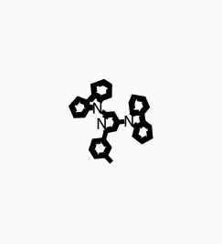 Cc1cccc(-c2cc(-n3c4ccccc4c4ccccc43)cc(-n3c4ccccc4c4ccccc43)n2)c1